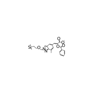 COC(=O)C(=Cc1cc(C)c2nn(COCC[Si](C)(C)C)cc2c1)OC(=O)c1ccccc1